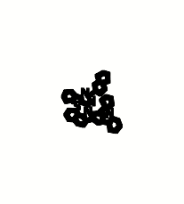 c1ccc2cc(-c3nc(-n4c5c6ccccc6ccc5c5cc6c7ccccc7n7c8ccccc8c(c54)c67)c4sc5ccccc5c4n3)ccc2c1